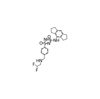 NS(=O)(=NC(=O)Nc1c2c(cc3c1CCC3)CCC2)c1ccc(CNCC(F)F)cc1